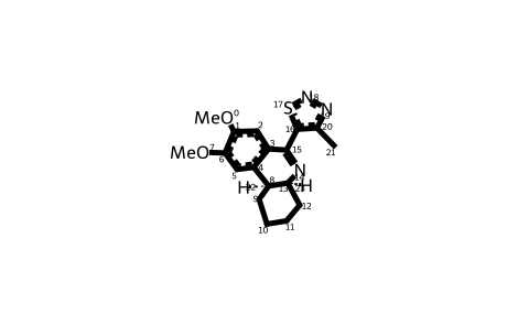 COc1cc2c(cc1OC)[C@@H]1CCCC[C@@H]1N=C2c1snnc1C